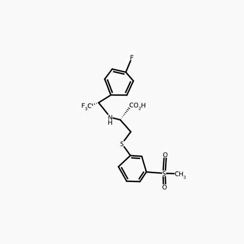 CS(=O)(=O)c1cccc(SC[C@H](N[C@@H](c2ccc(F)cc2)C(F)(F)F)C(=O)O)c1